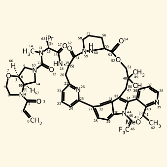 C=CC(=O)N1CCO[C@H]2CN(C(=O)N(C)[C@H](C(=O)N[C@H]3Cc4cccc(n4)-c4ccc5c(c4)c(c(-c4cccnc4[C@H](C)OC)n5CC(F)(F)F)CC(C)(C)COC(=O)C4CCCN(N4)C3=O)C(C)C)C[C@H]21